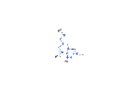 CC(C)NCN(CNC(C)C)CN(CNC(C)C)CNC(C)C